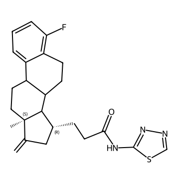 C=C1C[C@@H](CCC(=O)Nc2nncs2)C2C3CCc4c(F)cccc4C3CC[C@]12C